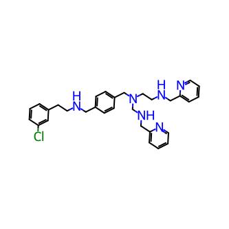 Clc1cccc(CCNCc2ccc(CN(CCNCc3ccccn3)CNCc3ccccn3)cc2)c1